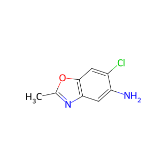 Cc1nc2cc(N)c(Cl)cc2o1